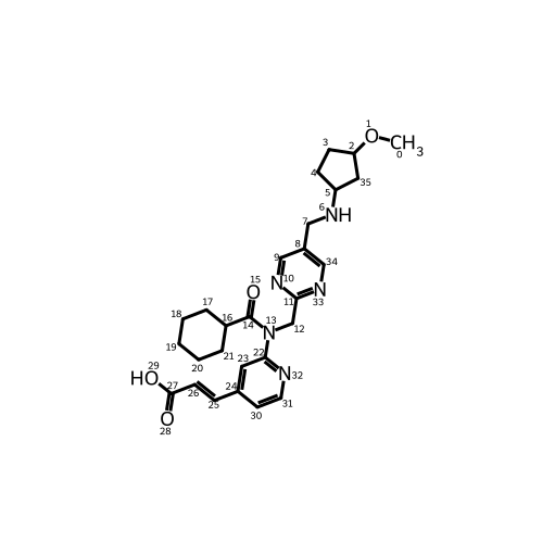 COC1CCC(NCc2cnc(CN(C(=O)C3CCCCC3)c3cc(C=CC(=O)O)ccn3)nc2)C1